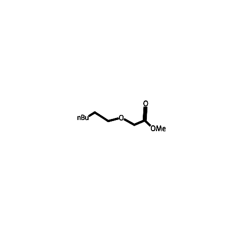 [CH2]CCCCCOCC(=O)OC